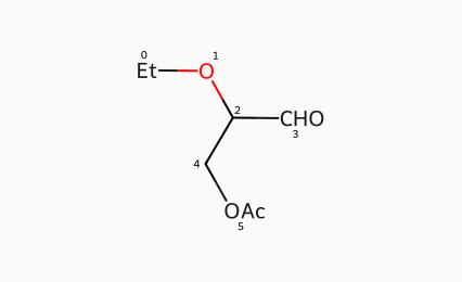 CCOC(C=O)COC(C)=O